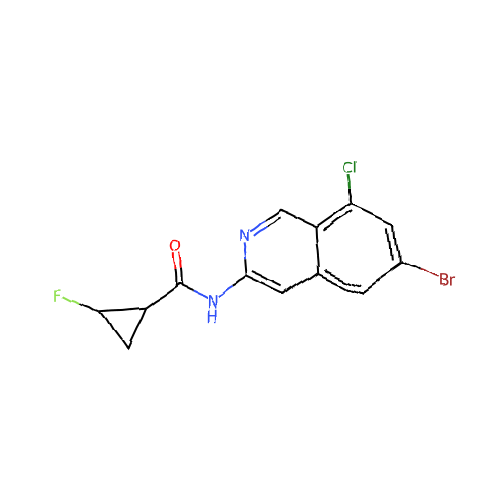 O=C(Nc1cc2cc(Br)cc(Cl)c2cn1)C1CC1F